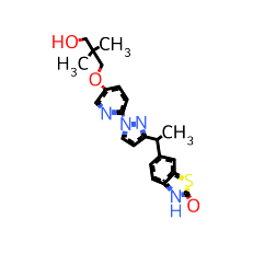 CC(c1ccc2[nH]c(=O)sc2c1)c1ccn(-c2ccc(OCC(C)(C)CO)cn2)n1